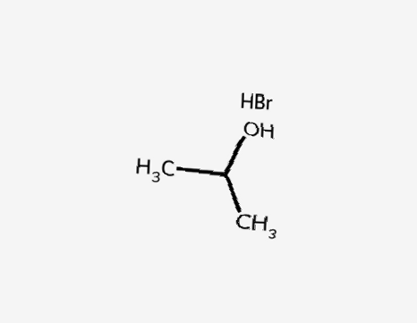 Br.CC(C)O